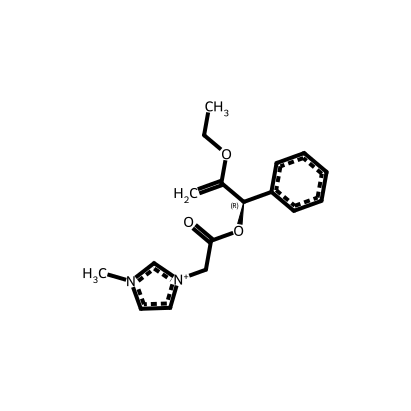 C=C(OCC)[C@H](OC(=O)C[n+]1ccn(C)c1)c1ccccc1